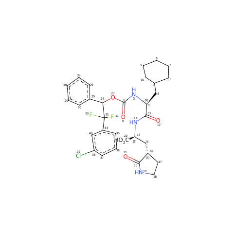 O=C(N[C@@H](CC1CCCCC1)C(=O)N[C@@H](C[C@@H]1CCNC1=O)C(=O)O)OC(c1ccccc1)C(F)(F)c1cccc(Cl)c1